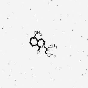 CC[C@H](C)n1ccc2c(N)cccc2c1=O